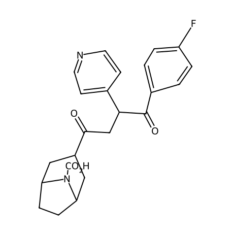 O=C(CC(C(=O)c1ccc(F)cc1)c1ccncc1)C1CC2CCC(C1)N2C(=O)O